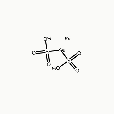 O=S(=O)(O)[Se]S(=O)(=O)O.[In]